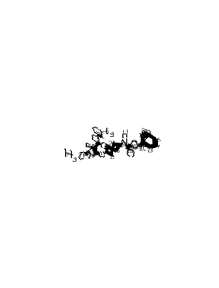 CCOC(=O)c1sc(C)nc1O[C@H]1CC2(C[C@H](NC(=O)OCc3ccccc3)C2)C1